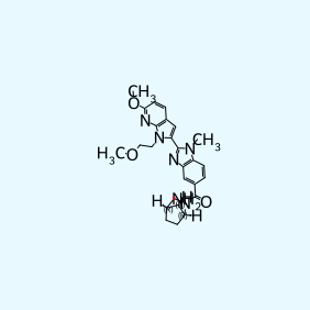 COCCn1c(-c2nc3cc(C(=O)N4C[C@H]5CC[C@@H]4[C@@H]5N)ccc3n2C)cc2ccc(OC)nc21